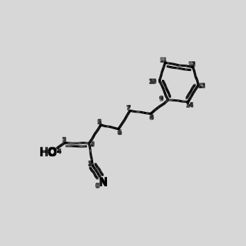 N#C/C(=C\O)CCCCc1ccccc1